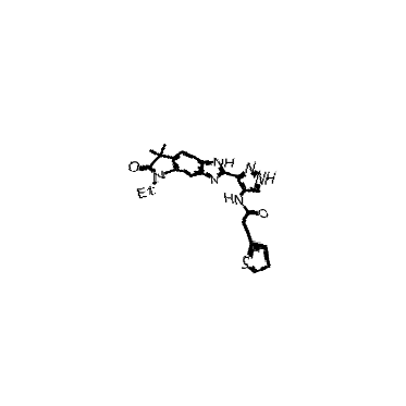 CCN1C(=O)C(C)(C)c2cc3[nH]c(-c4n[nH]cc4NC(=O)Cc4cccs4)nc3cc21